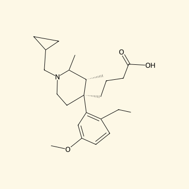 CCc1ccc(OC)cc1[C@@]1(CCCC(=O)O)CCN(CC2CC2)C(C)[C@@H]1C